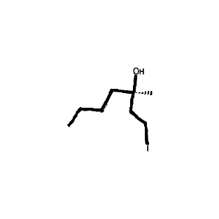 CCCC[C@@](C)(O)CCI